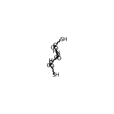 O=[PH](OCCCCS)OCCCO[PH](=O)OCCCO[PH](=O)OCCCCS